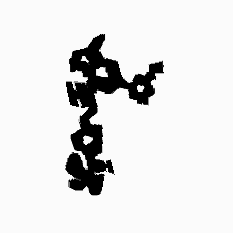 Cc1cnn2c(NCCc3ccc(NS(C)(=O)=O)cc3)cc(-c3cncc(F)c3)nc12